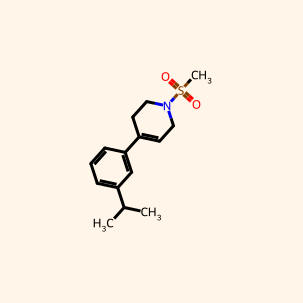 CC(C)c1cccc(C2=CCN(S(C)(=O)=O)CC2)c1